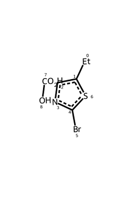 CCc1cnc(Br)s1.O=C(O)O